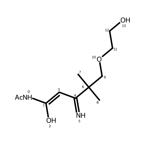 CC(=O)N/C(O)=C/C(=N)C(C)(C)COCCO